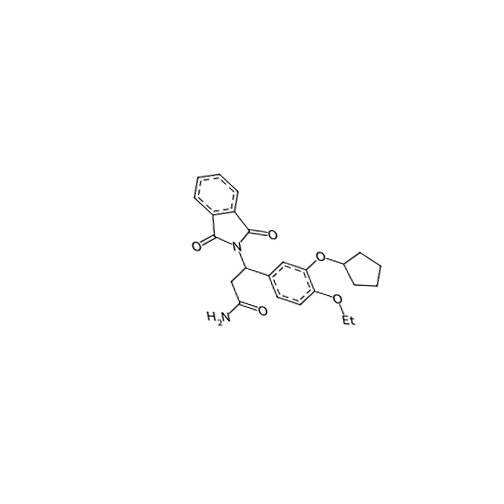 CCOc1ccc(C(CC(N)=O)N2C(=O)c3ccccc3C2=O)cc1OC1CCCC1